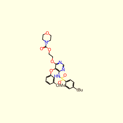 COc1cccc(Oc2c(NS(=O)(=O)c3ccc(C(C)(C)C)cc3)ncnc2OCCOC(=O)N2CCOCC2)c1